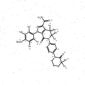 [2H]c1c([2H])c(-n2nc(C(N)=O)c3c2C(=O)N(c2ccc(N4CCCC([2H])([2H])C4=O)cc2)C([2H])([2H])C3([2H])[2H])c([2H])c([2H])c1OC